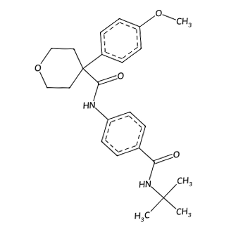 COc1ccc(C2(C(=O)Nc3ccc(C(=O)NC(C)(C)C)cc3)CCOCC2)cc1